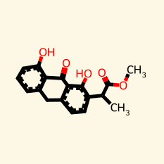 COC(=O)C(C)c1ccc2c(c1O)C(=O)c1c(O)cccc1C2